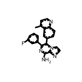 Cc1ccnc2ccc(-c3c(-c4cccc(F)c4)nc(N)c4nccn34)cc12